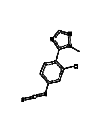 Cn1ncnc1-c1ccc(N=C=S)cc1Cl